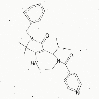 CC(C)C1C2=C(NCCN1C(=O)c1ccncc1)C(C)(C)N(Cc1ccccc1)C2=O